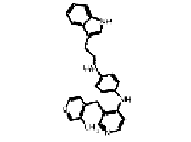 Cc1cnccc1Cc1cnccc1Nc1ccc(NCCc2c[nH]c3ccccc23)cc1